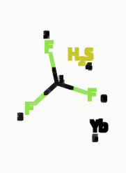 FC(F)F.S.[Yb]